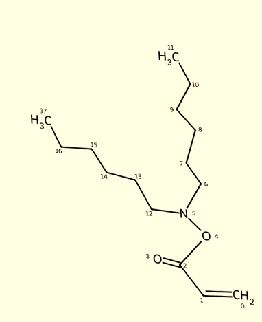 C=CC(=O)ON(CCCCCC)CCCCCC